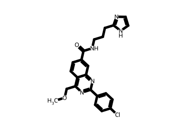 COCc1nc(-c2ccc(Cl)cc2)nc2cc(C(=O)NCCCc3ncc[nH]3)ccc12